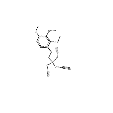 C#CO[Si](CCc1ccc(OC)c(OC)c1OC)(OC#C)OC#C